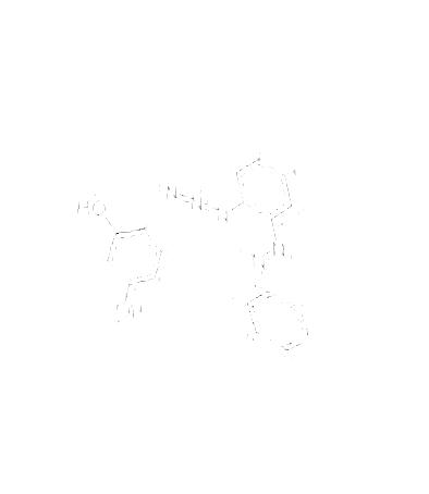 Oc1cccc(O)c1.[N-]=[N+]=Nc1ccccc1N=Nc1ccccc1